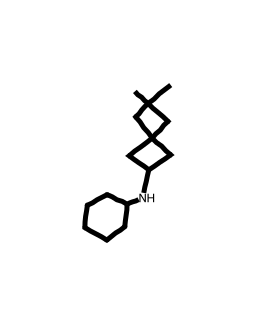 CC1(C)CC2(CC(NC3CCCCC3)C2)C1